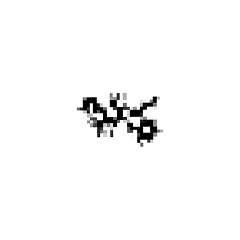 CCCCc1nc(CO)c(C=C(Cc2cccs2)C(=O)O)n1Cc1ccccc1Cl